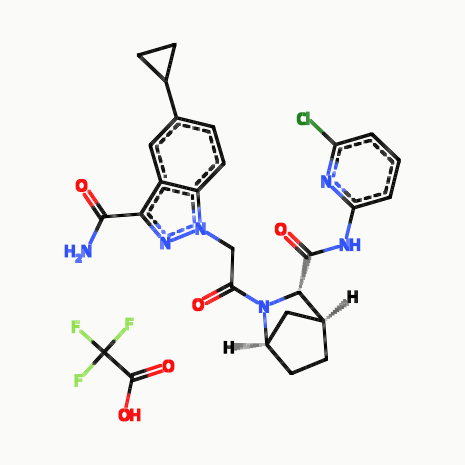 NC(=O)c1nn(CC(=O)N2[C@@H]3CC[C@@H](C3)[C@H]2C(=O)Nc2cccc(Cl)n2)c2ccc(C3CC3)cc12.O=C(O)C(F)(F)F